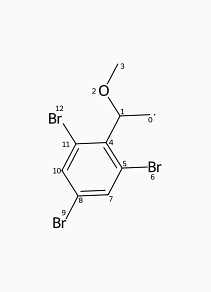 [CH2]C(OC)c1c(Br)cc(Br)cc1Br